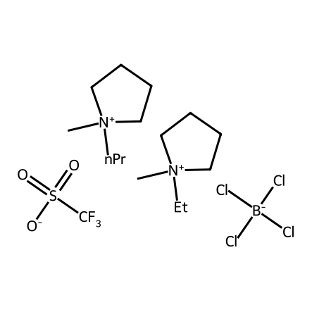 CCC[N+]1(C)CCCC1.CC[N+]1(C)CCCC1.Cl[B-](Cl)(Cl)Cl.O=S(=O)([O-])C(F)(F)F